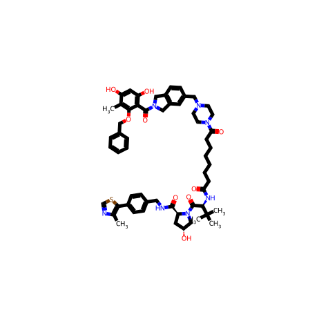 Cc1ncsc1-c1ccc(CNC(=O)[C@@H]2C[C@@H](O)CN2C(=O)[C@@H](NC(=O)CCCCCCC(=O)N2CCN(Cc3ccc4c(c3)CN(C(=O)c3c(O)cc(O)c(C)c3OCc3ccccc3)C4)CC2)C(C)(C)C)cc1